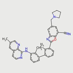 Cc1cnc2c(Nc3cccc(-c4cccc(-c5nc6cc(CN7CCCC7)cc(C#N)c6o5)c4C)c3C)nccc2c1